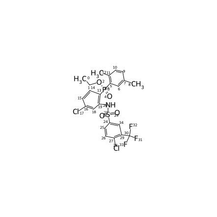 CCO[P@@](=O)(c1cc(C)ccc1C)c1ccc(Cl)cc1NS(=O)(=O)c1ccc(Cl)c(C(F)(F)F)c1